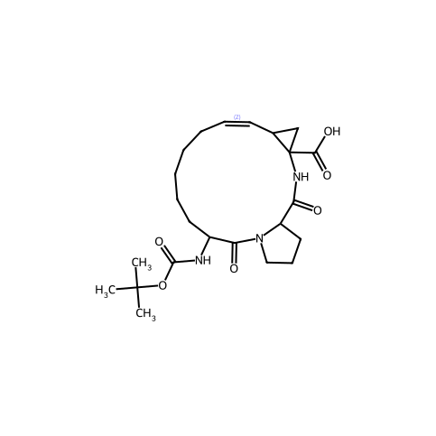 CC(C)(C)OC(=O)NC1CCCCC/C=C\C2CC2(C(=O)O)NC(=O)C2CCCN2C1=O